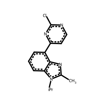 Cc1nc2c(-c3ccnc(Cl)n3)cccc2n1C(C)C